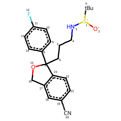 CC(C)(C)[S+]([O-])NCCCC1(c2ccc(F)cc2)OCc2cc(C#N)ccc21